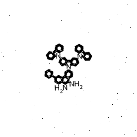 Nc1c(N)c2ccc(-n3c4ccc(-n5c6ccccc6c6ccccc65)cc4c4cc(-n5c6ccccc6c6ccccc65)ccc43)cc2c2cc(-c3ccccc3)ccc12